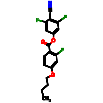 CCCCOc1ccc(C(=O)Oc2cc(F)c(C#N)c(F)c2)c(F)c1